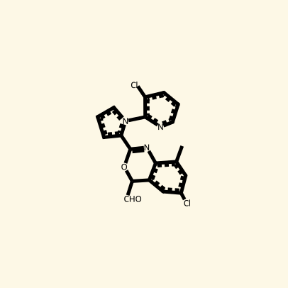 Cc1cc(Cl)cc2c1N=C(c1cccn1-c1ncccc1Cl)OC2C=O